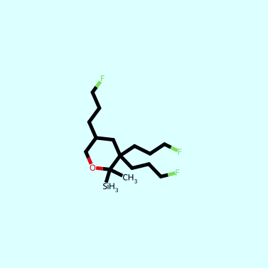 CC1([SiH3])OCC(CCCF)CC1(CCCF)CCCF